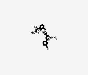 CC(C)(CC(=O)O)c1cccc(Cn2cc(-c3cc(-c4cccc(C#N)c4)nc(N)n3)nn2)c1F